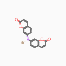 O=c1ccc2ccc([I+]c3ccc4ccc(=O)oc4c3)cc2o1.[Br-]